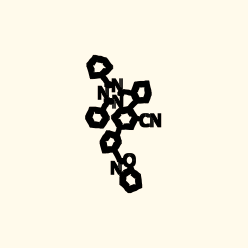 N#Cc1cc(-c2cccc(-c3nc4ccccc4o3)c2)ccc1-c1ccccc1-c1nc(-c2ccccc2)nc(-c2ccccc2)n1